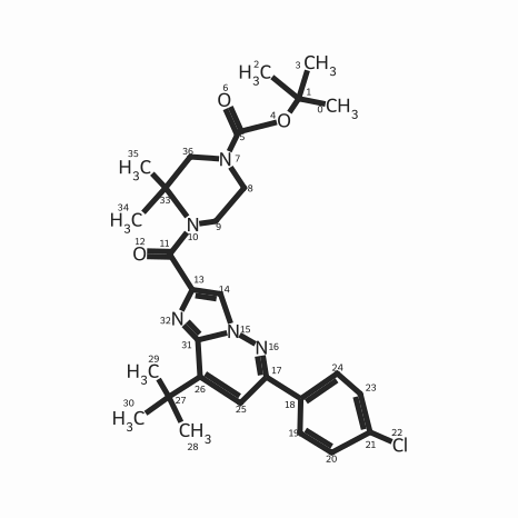 CC(C)(C)OC(=O)N1CCN(C(=O)c2cn3nc(-c4ccc(Cl)cc4)cc(C(C)(C)C)c3n2)C(C)(C)C1